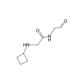 O=[C]CNC(=O)CNC1CCC1